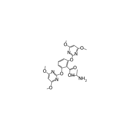 CC(C)N.COc1cc(OC)nc(Oc2cccc(Oc3nc(OC)cc(OC)n3)c2C(=O)O)n1